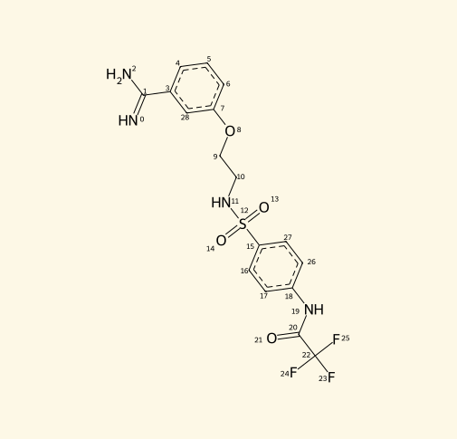 N=C(N)c1cccc(OCCNS(=O)(=O)c2ccc(NC(=O)C(F)(F)F)cc2)c1